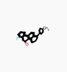 Cc1ccc(C2=c3ccc4c(c3CCC2)C(=O)C=c2c(F)cccc2=4)cc1